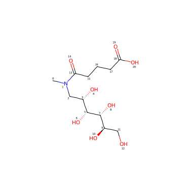 CN(C[C@H](O)[C@@H](O)[C@H](O)[C@H](O)CO)C(=O)CCCC(=O)O